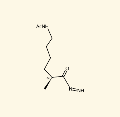 CC(=O)NCCCC[C@H](C)C(=O)N=N